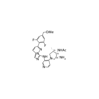 COCc1cc(F)c(-c2ccc3cnc(Nc4cnccc4N4C[C@@H](N)[C@@H](NC(C)=O)[C@@H](C)C4)n3n2)c(F)c1